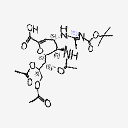 CC(=O)N[C@H]1[C@H]([C@H](C)[C@@H](COC(C)=O)OC(C)=O)OC(C(=O)O)=C[C@@H]1N/C(C)=N/C(=O)OC(C)(C)C